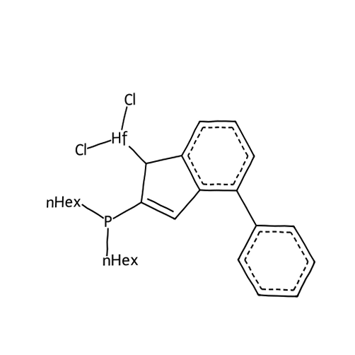 CCCCCCP(CCCCCC)C1=Cc2c(-c3ccccc3)cccc2[CH]1[Hf]([Cl])[Cl]